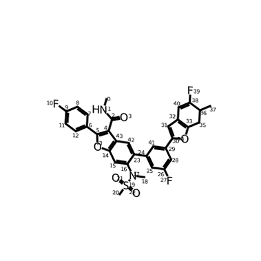 CNC(=O)c1c(-c2ccc(F)cc2)oc2cc(N(C)S(C)(=O)=O)c(-c3cc(F)cc(-c4cc5c(o4)CC(C)C(F)=C5)c3)cc12